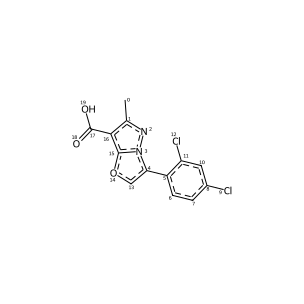 Cc1nn2c(-c3ccc(Cl)cc3Cl)coc2c1C(=O)O